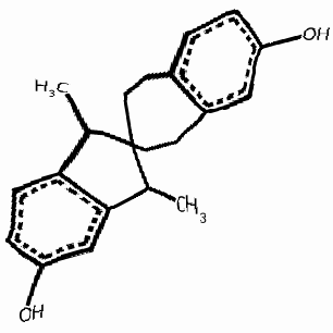 CC1c2ccc(O)cc2C(C)C12Cc1ccc(O)cc1C2